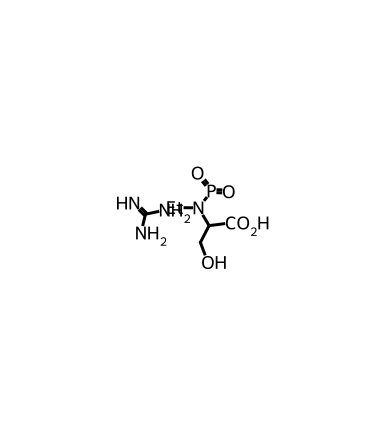 CCN(C(CO)C(=O)O)P(=O)=O.N=C(N)N